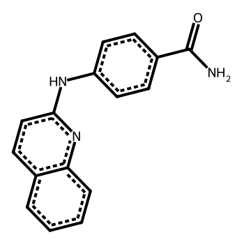 NC(=O)c1ccc(Nc2ccc3ccccc3n2)cc1